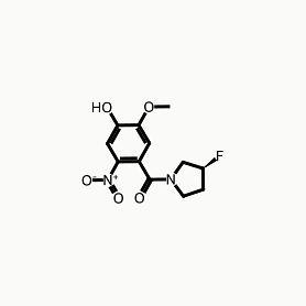 COc1cc(C(=O)N2CC[C@H](F)C2)c([N+](=O)[O-])cc1O